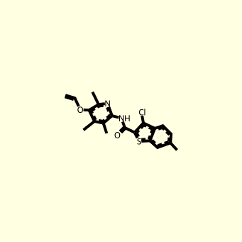 C=COc1c(C)nc(NC(=O)c2sc3cc(C)ccc3c2Cl)c(C)c1C